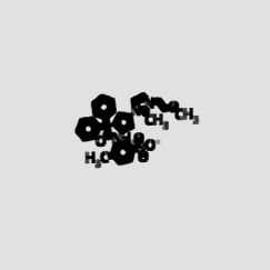 COCC[n+]1ccn([C@@H]2CC[C@@H](C(C(N)=O)(c3ccccc3)c3ccccc3)C2)c1C.Cc1ccc(S(=O)(=O)[O-])cc1